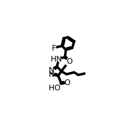 CCCCC1(C)C(NC(=O)c2ccccc2F)=NN=C1C(=O)O